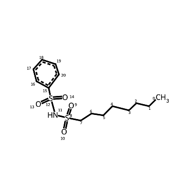 CCCCCCCCS(=O)(=O)NS(=O)(=O)c1ccccc1